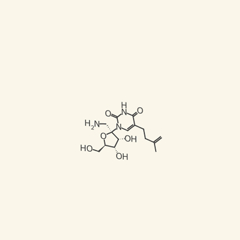 C=C(C)CCc1cn([C@]2(CN)O[C@H](CO)[C@@H](O)[C@H]2O)c(=O)[nH]c1=O